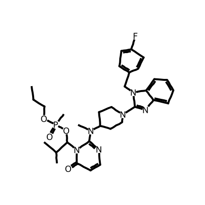 CCCOP(C)(=O)OC(C(C)C)n1c(N(C)C2CCN(c3nc4ccccc4n3Cc3ccc(F)cc3)CC2)nccc1=O